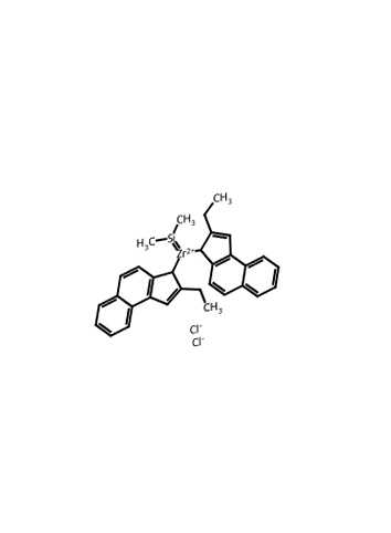 CCC1=Cc2c(ccc3ccccc23)[CH]1[Zr+2]([CH]1C(CC)=Cc2c1ccc1ccccc21)=[Si](C)C.[Cl-].[Cl-]